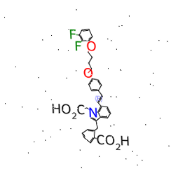 O=C(O)Cn1cc(Cc2ccccc2C(=O)O)c2cccc(/C=C/c3ccc(OCCCCOc4cccc(F)c4F)cc3)c21